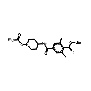 Cc1cc(C(=O)NC2CCN(OC(=O)C(C)(C)C)CC2)cc(C)c1C(=O)OC(C)(C)C